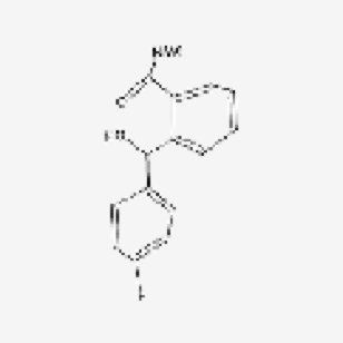 CNC(=O)c1ccccc1C(O)c1ccc(F)cc1